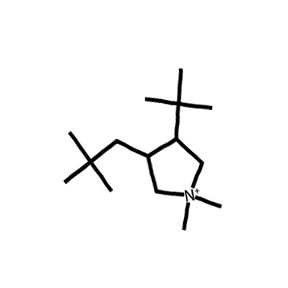 CC(C)(C)CC1C[N+](C)(C)CC1C(C)(C)C